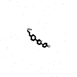 COCCCC1CCC(c2ccc(-c3ccc(Cl)cc3)nc2)CC1